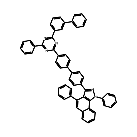 c1ccc(-c2cccc(-c3nc(-c4ccccc4)nc(-c4ccc(-c5ccc(-c6nn(-c7ccccc7)c7c6c(-c6ccccc6)cc6ccccc67)cc5)cc4)n3)c2)cc1